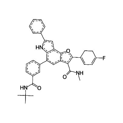 CNC(=O)c1c(C2=CC=C(F)CC2)oc2c1cc(-c1cccc(C(=O)NC(C)(C)C)c1)c1[nH]c(-c3ccccc3)cc12